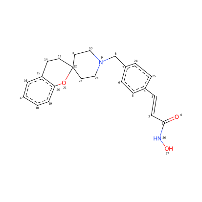 O=C(C=Cc1ccc(CN2CCC3(CCc4ccccc4O3)CC2)cc1)NO